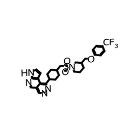 O=S(=O)(CC1CCC(c2nncc3cnc4[nH]ccc4c23)CC1)N1CCCC(COc2ccc(C(F)(F)F)cc2)C1